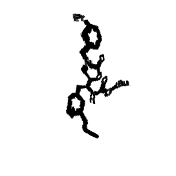 C=CCc1cccc(C[C@H](NC(=O)OC(C)(C)C)[C@H]2CN(Cc3cccc(C(C)C)c3)C(=O)O2)c1